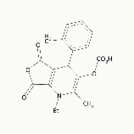 CCN1C(C)=C(OC(=O)O)C(c2ccccc2C)C2=C1C(=O)OC2=O